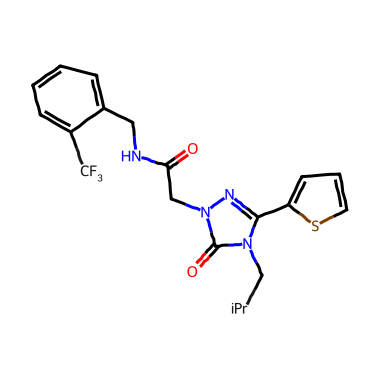 CC(C)Cn1c(-c2cccs2)nn(CC(=O)NCc2ccccc2C(F)(F)F)c1=O